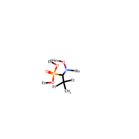 CCCCCCON(C(C(C)(CC)CC)P(=O)(OCC)OCC)C(C)(C)C